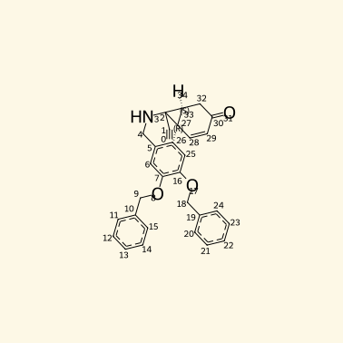 C#CC12NCc3cc(OCc4ccccc4)c(OCc4ccccc4)cc3[C@]13C=CC(=O)C[C@H]23